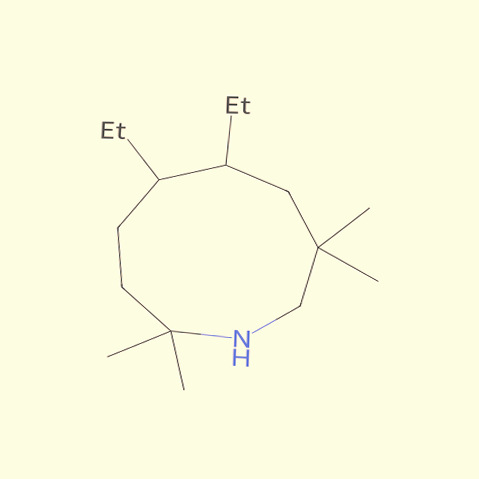 CCC1CCC(C)(C)NCC(C)(C)CC1CC